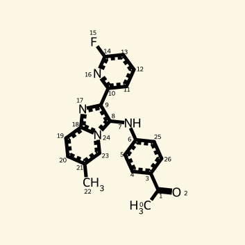 CC(=O)c1ccc(Nc2c(-c3cccc(F)n3)nc3ccc(C)cn23)cc1